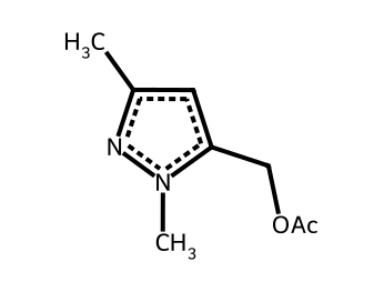 CC(=O)OCc1cc(C)nn1C